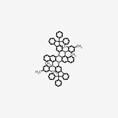 Cc1cc(C)c(B2c3cc4c(cc3N3c5cc6ccccc6c6c5N(c5cc7c(cc5B6c5c(C)cc(C)cc5C)C(c5ccccc5)(c5ccccc5)c5ccccc5-7)c5cc6ccccc6c2c53)-c2ccccc2C4(c2ccccc2)c2ccccc2)c(C)c1